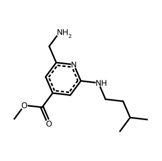 COC(=O)c1cc(CN)nc(NCCC(C)C)c1